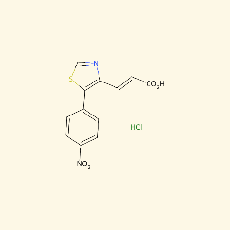 Cl.O=C(O)C=Cc1ncsc1-c1ccc([N+](=O)[O-])cc1